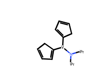 CC(C)[N](C(C)C)[V]([C]1=CC=CC1)[C]1=CC=CC1